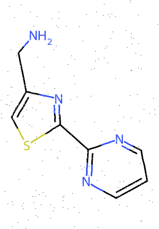 NCc1csc(-c2ncccn2)n1